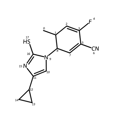 CC1C=C(F)C(C#N)=CC1n1cc(C2CC2)nc1S